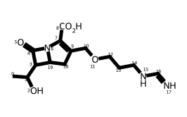 CC(O)C1C(=O)N2C(C(=O)O)=C(COCCCNC=N)CC12